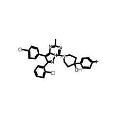 Cc1nc(N2CCC(O)(c3ccc(F)cc3)CC2)n2nc(-c3ccccc3Cl)c(-c3ccc(Cl)cc3)c2n1